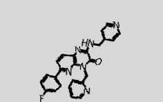 O=c1c(NCc2ccncc2)nc2ccc(-c3ccc(F)cc3)nc2n1Cc1ccccn1